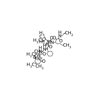 C=CCNC(=O)C(=O)C(CCCC)NC(=O)[C@@H]1C2=CC(C)(C)[C@H]2CN1C(=O)[C@@H](NC(=O)N[C@H](CN1C(=O)CC(C)(C)CC1=O)C(C)(C)C)C1CCCCC1